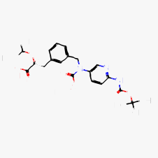 COC(=O)N(Cc1cccc(C[C@H](OC(C)C)C(=O)O)c1)c1ccc(NC(=O)OC(C)(C)C)nc1